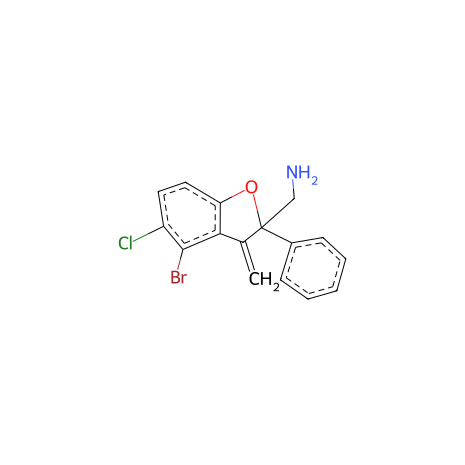 C=C1c2c(ccc(Cl)c2Br)OC1(CN)c1ccccc1